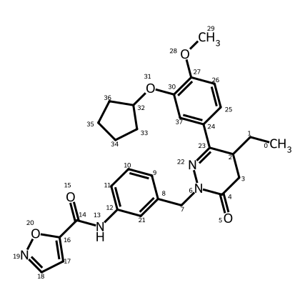 CCC1CC(=O)N(Cc2cccc(NC(=O)c3ccno3)c2)N=C1c1ccc(OC)c(OC2CCCC2)c1